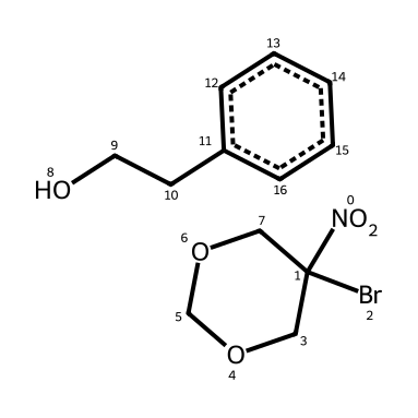 O=[N+]([O-])C1(Br)COCOC1.OCCc1ccccc1